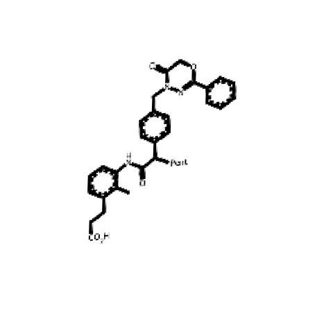 CCCC(C)C(C(=O)Nc1cccc(CCC(=O)O)c1C)c1ccc(CN2N=C(c3ccccc3)OCC2=O)cc1